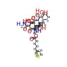 C[C@H]1c2cccc(O)c2C(O)=C2C(=O)[C@]3(O)C(O)=C(C(N)=O)C(=O)[C@@H](NCOC(=O)CCCC[C@@H]4CCSS4)[C@@H]3[C@@H](O)[C@@H]21